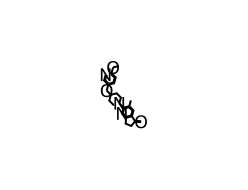 COc1ccc(OC2CCN(c3nc4c(cc3C)C(=O)CC4)CC2)cn1